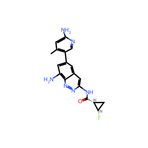 Cc1cc(N)ncc1-c1cc(N)c2nnc(NC(=O)[C@@H]3C[C@@H]3F)cc2c1